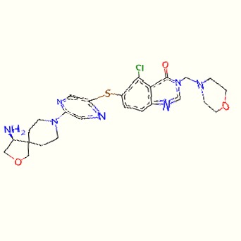 N[C@@H]1COCC12CCN(c1cnc(Sc3ccc4ncn(CN5CCOCC5)c(=O)c4c3Cl)cn1)CC2